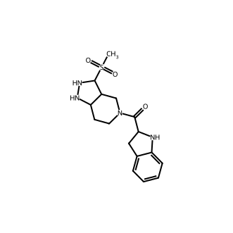 CS(=O)(=O)C1NNC2CCN(C(=O)C3Cc4ccccc4N3)CC21